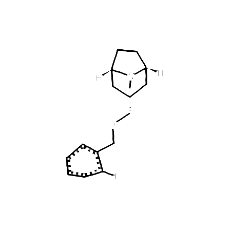 CN1[C@@H]2CC[C@H]1C[C@@H](COCc1ccccc1F)C2